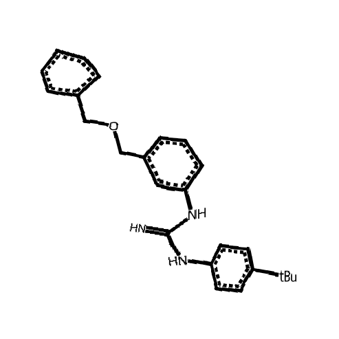 CC(C)(C)c1ccc(NC(=N)Nc2cccc(COCc3ccccc3)c2)cc1